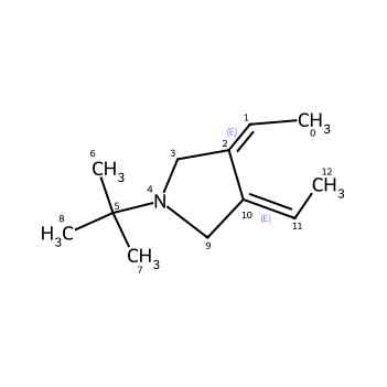 C/C=C1/CN(C(C)(C)C)C/C1=C/C